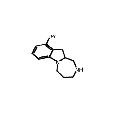 CC(C)c1cccc2c1CC1CNCCCN21